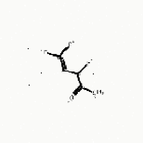 CC(=O)C(F)C=C(F)F